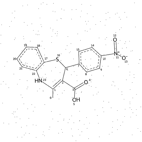 CC1=C(C(=O)O)C(c2ccc([N+](=O)[O-])cc2)Sc2ccccc2N1